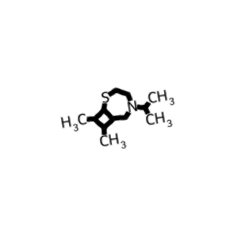 CC1C(C)C2SCCN(C(C)C)CC12